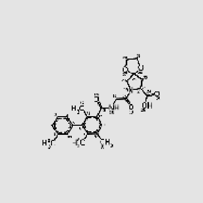 Cc1cccc(-c2c(C)c(C)cc(C(=O)NCC(=O)N3CC4(C[C@H]3C(=O)O)OCCO4)c2C)c1